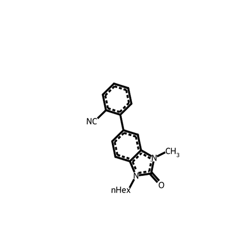 CCCCCCn1c(=O)n(C)c2cc(-c3ccccc3C#N)ccc21